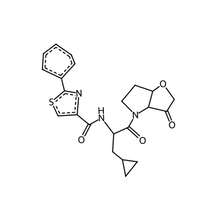 O=C(NC(CC1CC1)C(=O)N1CCC2OCC(=O)C21)c1csc(-c2ccccc2)n1